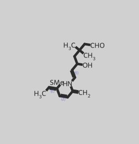 C=C(/C=C\C(=C/C)SC)N/C=C/C(O)CC(C)(C)CC=O